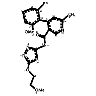 COCCOc1nnc(NC(=O)c2cnc(C)cc2-c2c(F)cccc2OC)s1